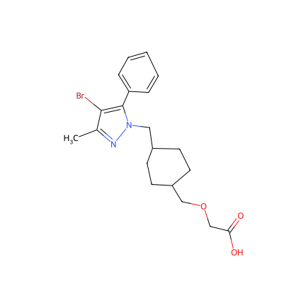 Cc1nn(CC2CCC(COCC(=O)O)CC2)c(-c2ccccc2)c1Br